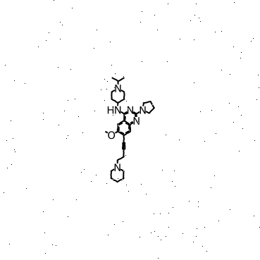 COc1cc2c(NC3CCN(C(C)C)CC3)nc(N3CCCC3)nc2cc1C#CCCN1CCCCC1